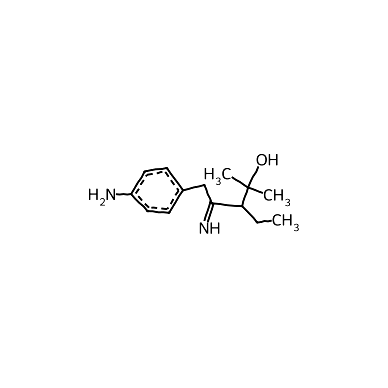 CCC(C(=N)Cc1ccc(N)cc1)C(C)(C)O